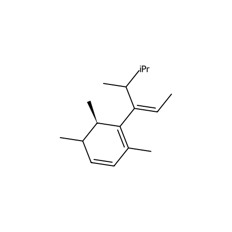 C/C=C(/C1=C(C)C=CC(C)[C@H]1C)C(C)C(C)C